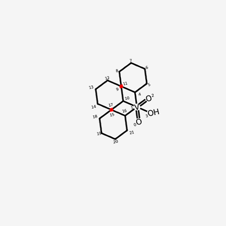 [O]=[V](=[O])([OH])([CH]1CCCCC1)([CH]1CCCCC1)[CH]1CCCCC1